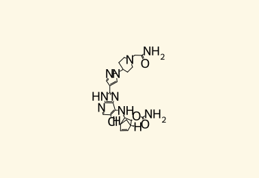 NC(=O)CN1CCC(n2cc(-c3nc4c(N[C@H]5[C@@H](OC(N)=O)[C@@H]6C=C[C@H]5C6)c(Cl)cnc4[nH]3)cn2)CC1